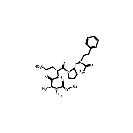 C[C@@H](C(=O)N[C@@H](CCC(=O)O)C(=O)N1CCC[C@H]1CN(CCc1ccccc1)C(=O)C(F)(F)F)N(C)C(=O)OC(C)(C)C